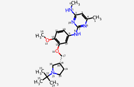 CNc1cc(C)nc(Nc2ccc(OC)c(OC[C@@H]3CCN(C(C)(C)C)C3)c2)n1